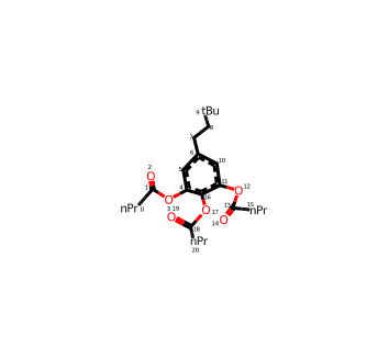 CCCC(=O)Oc1cc(CCC(C)(C)C)cc(OC(=O)CCC)c1OC(=O)CCC